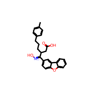 Cc1ccc(CCCC(CC(=O)O)/C(=N\O)c2ccc3oc4ccccc4c3c2)cc1